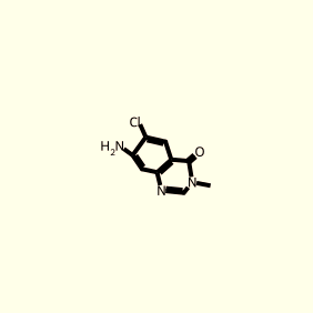 Cn1cnc2cc(N)c(Cl)cc2c1=O